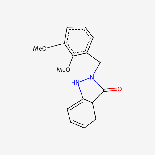 COc1cccc(CN2NC3=CC=CCC3C2=O)c1OC